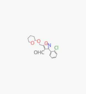 O=Cc1c(-c2ccccc2Cl)noc1COC1CCCCO1